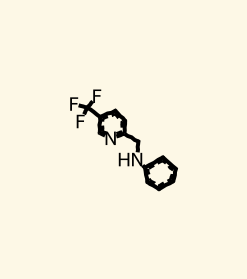 FC(F)(F)c1ccc(CNc2ccccc2)nc1